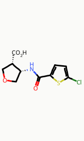 O=C(N[C@@H]1COC[C@@H]1C(=O)O)c1ccc(Cl)s1